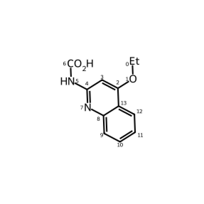 CCOc1cc(NC(=O)O)nc2ccccc12